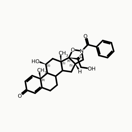 C[C@]12C=CC(=O)C=C1CCC1C2[C@@H](O)C[C@@]2(C)C1C[C@H]1CN(C(=O)c3ccccc3)O[C@]12C(=O)CO